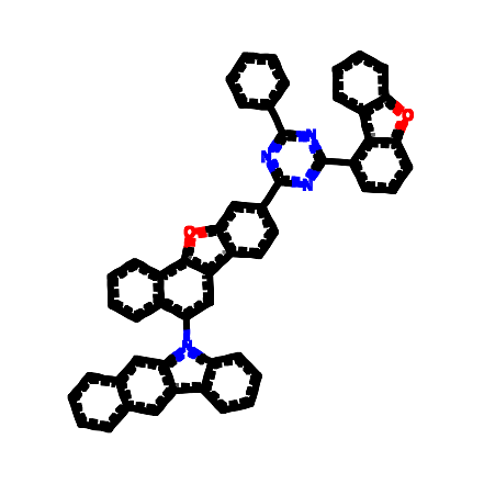 c1ccc(-c2nc(-c3ccc4c(c3)oc3c5ccccc5c(-n5c6ccccc6c6cc7ccccc7cc65)cc43)nc(-c3cccc4oc5ccccc5c34)n2)cc1